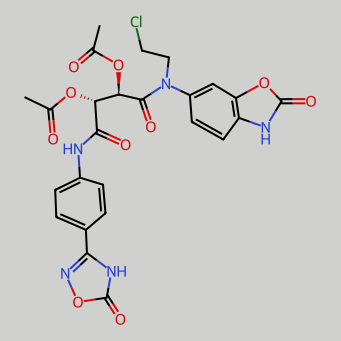 CC(=O)O[C@@H](C(=O)Nc1ccc(-c2noc(=O)[nH]2)cc1)[C@@H](OC(C)=O)C(=O)N(CCCl)c1ccc2[nH]c(=O)oc2c1